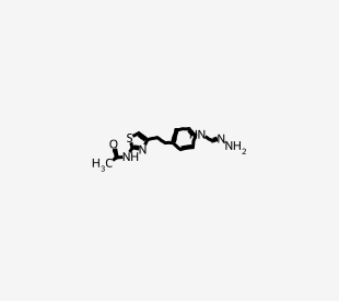 CC(=O)Nc1nc(CCc2ccc(NC=NN)cc2)cs1